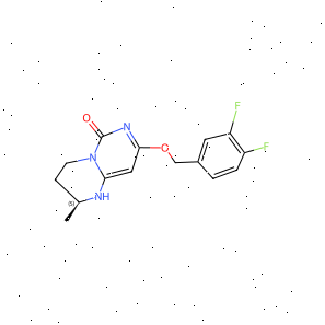 C[C@H]1CCn2c(cc(OCc3ccc(F)c(F)c3)nc2=O)N1